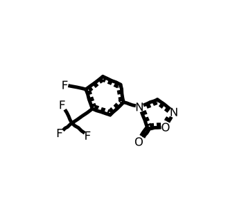 O=c1oncn1-c1ccc(F)c(C(F)(F)F)c1